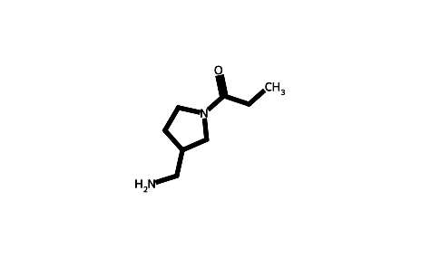 CCC(=O)N1CCC(CN)C1